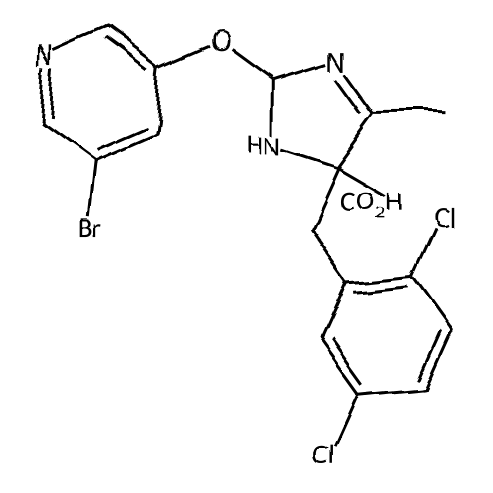 CC1=NC(Oc2cncc(Br)c2)NC1(Cc1cc(Cl)ccc1Cl)C(=O)O